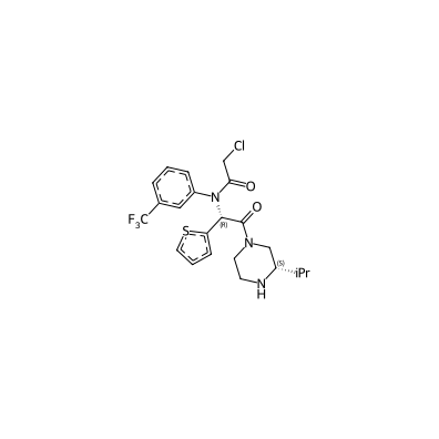 CC(C)[C@H]1CN(C(=O)[C@H](c2cccs2)N(C(=O)CCl)c2cccc(C(F)(F)F)c2)CCN1